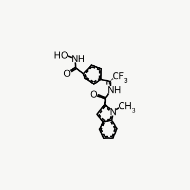 Cn1c(C(=O)N[C@H](c2ccc(C(=O)NO)cc2)C(F)(F)F)cc2ccccc21